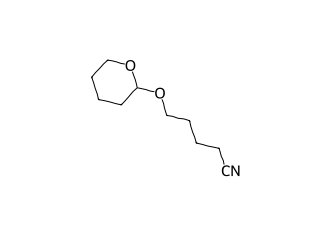 N#CCCCCOC1CCCCO1